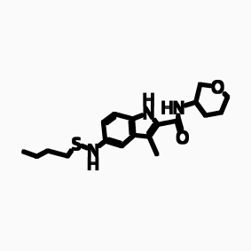 CCCCSNc1ccc2[nH]c(C(=O)NC3CCCOC3)c(C)c2c1